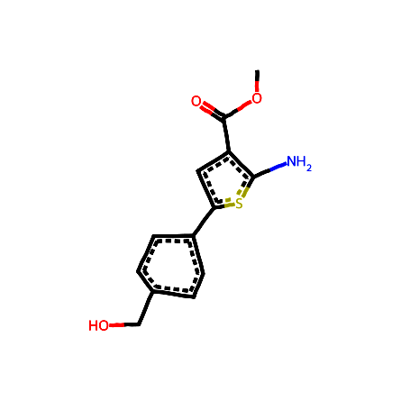 COC(=O)c1cc(-c2ccc(CO)cc2)sc1N